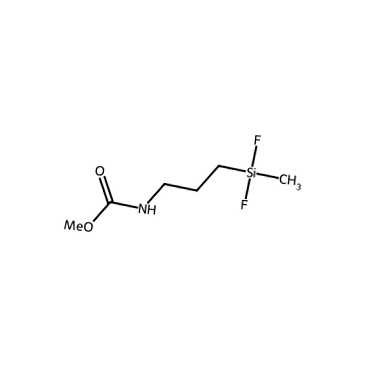 COC(=O)NCCC[Si](C)(F)F